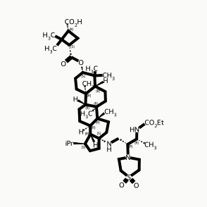 CCOC(=O)N[C@H](C)[C@@H](CN[C@]12CC[C@@H](C(C)C)[C@@H]1[C@H]1CC[C@@H]3[C@@]4(C)CC[C@H](OC(=O)[C@H]5C[C@@H](C(=O)O)C5(C)C)C(C)(C)[C@@H]4CC[C@@]3(C)[C@]1(C)CC2)N1CCS(=O)(=O)CC1